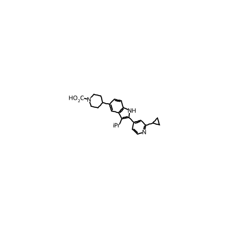 CC(C)c1c(-c2ccnc(C3CC3)c2)[nH]c2ccc(C3CCN(C(=O)O)CC3)cc12